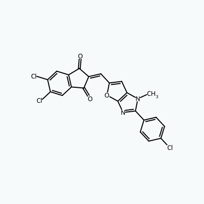 Cn1c(-c2ccc(Cl)cc2)nc2oc(C=C3C(=O)c4cc(Cl)c(Cl)cc4C3=O)cc21